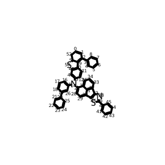 C1=CC(c2ccccc2)=C2c3ccc(N(c4cccc(-c5ccccc5)c4)c4ccc5c6c(cccc46)-c4nc(-c6ccccc6)sc4-5)cc3SC2C1